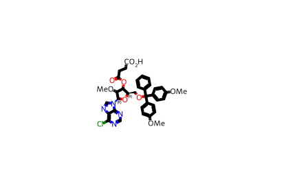 COc1ccc(C(OC[C@H]2O[C@@H](n3cnc4c(Cl)ncnc43)C(OC)C2OC(=O)CCC(=O)O)(c2ccccc2)c2ccc(OC)cc2)cc1